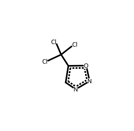 ClC(Cl)(Cl)c1cnno1